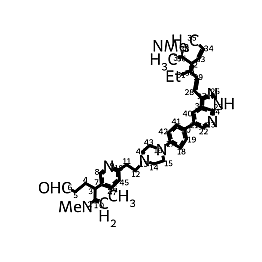 C=C(NC)C(CCC=O)c1cnc(CCN2CCN(c3ccc(-c4cnc5[nH]nc(/C=C/C(CC)=C(\C=C/C)[C@@H](C)NC)c5c4)cc3)CC2)cc1C